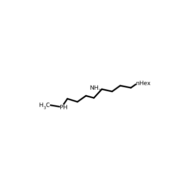 CCCCCCCCCCCCCCPC.N